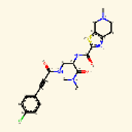 CN1CCc2nc(C(=O)NC(CNC(=O)C#Cc3ccc(Cl)cc3)C(=O)N(C)C)sc2C1